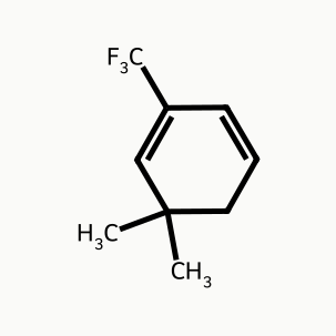 CC1(C)C=C(C(F)(F)F)C=CC1